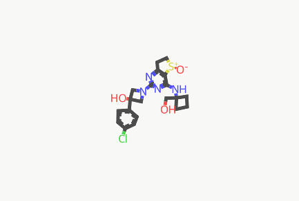 [O-][S@+]1CCc2nc(N3CC(O)(c4ccc(Cl)cc4)C3)nc(NC3(CO)CCC3)c21